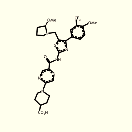 COc1ccc(-c2nc(NC(=O)c3cnc(N4CCC(C(=O)O)CC4)cn3)sc2CN2CCC[C@H]2OC)cc1C(F)(F)F